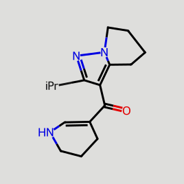 CC(C)c1nn2c(c1C(=O)C1=CNCCC1)CCCC2